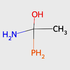 CC(N)(O)P